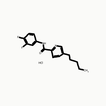 CCCCCc1ccc(C(=O)Nc2ccc(F)c(F)c2)nc1.Cl